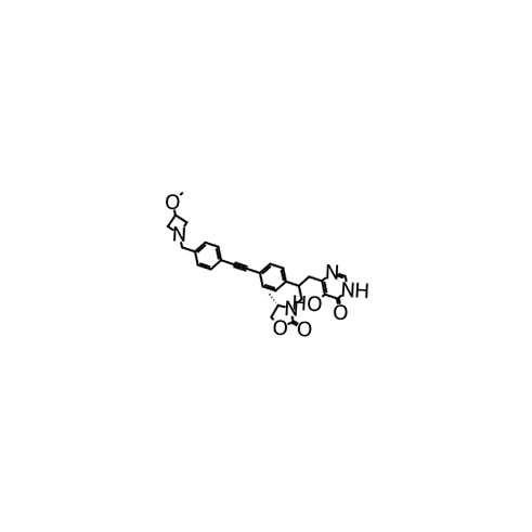 COC1CN(Cc2ccc(C#Cc3ccc(C(Cc4nc[nH]c(=O)c4O)CN4C(=O)OC[C@@H]4C)cc3)cc2)C1